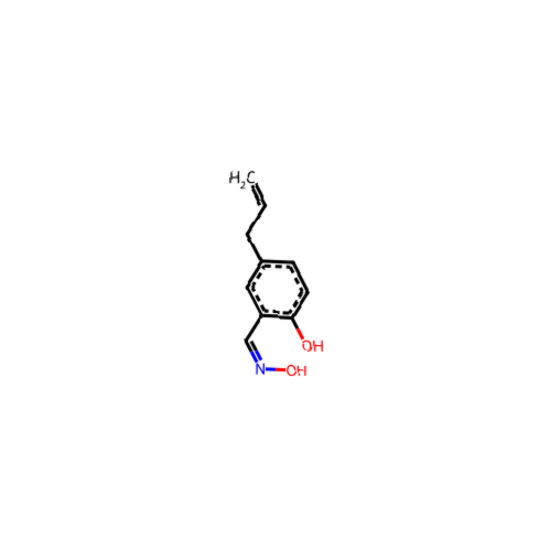 C=CCc1ccc(O)c(/C=N\O)c1